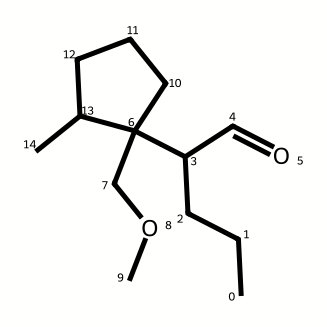 CCCC(C=O)C1(COC)CCCC1C